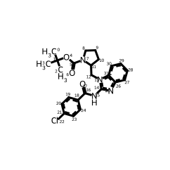 CC(C)(C)OC(=O)N1CCCC1Cn1c(NC(=O)c2ccc(Cl)cc2)nc2ccccc21